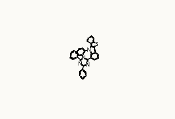 c1ccc(-c2nc(-c3ccccc3)nc(-c3cccc4c5sc6ccccc6c5n(-c5ccccc5)c34)n2)cc1